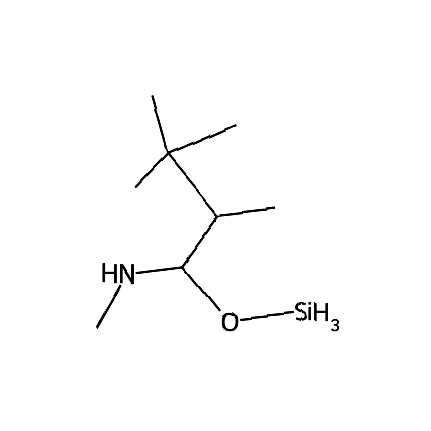 CNC(O[SiH3])C(C)C(C)(C)C